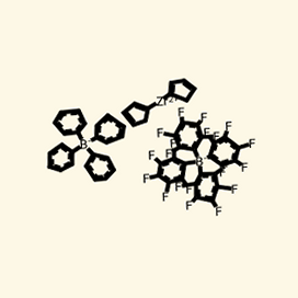 C1=CC[C]([Zr+2][C]2=CC=CC2)=C1.Fc1c(F)c(F)c([B-](c2c(F)c(F)c(F)c(F)c2F)(c2c(F)c(F)c(F)c(F)c2F)c2c(F)c(F)c(F)c(F)c2F)c(F)c1F.c1ccc([B-](c2ccccc2)(c2ccccc2)c2ccccc2)cc1